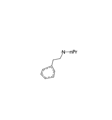 CCC[N]CCc1ccccc1